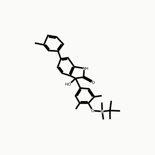 Cc1cccc(-c2ccc3c(c2)NC(=O)C3(O)c2cc(C)c(O[Si](C)(C)C(C)(C)C)c(C)c2)c1